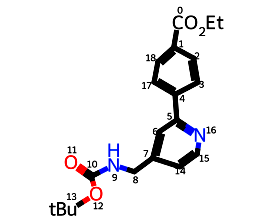 CCOC(=O)c1ccc(-c2cc(CNC(=O)OC(C)(C)C)ccn2)cc1